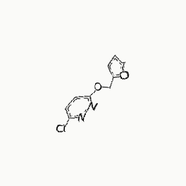 Clc1ccc(OCc2ccco2)nn1